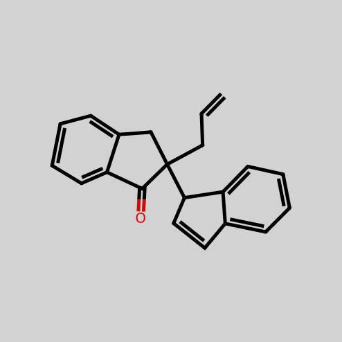 C=CCC1(C2C=Cc3ccccc32)Cc2ccccc2C1=O